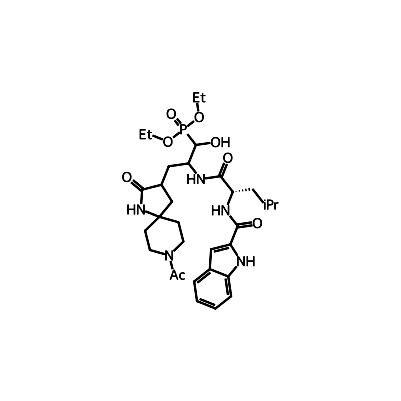 CCOP(=O)(OCC)C(O)C(CC1CC2(CCN(C(C)=O)CC2)NC1=O)NC(=O)[C@H](CC(C)C)NC(=O)c1cc2ccccc2[nH]1